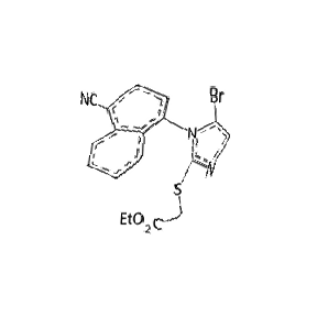 CCOC(=O)CSc1ncc(Br)n1-c1ccc(C#N)c2ccccc12